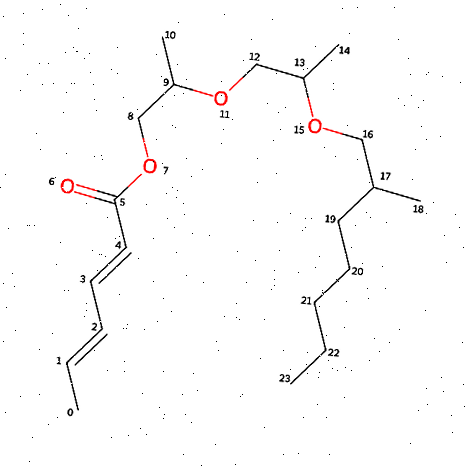 C/C=C/C=C/C(=O)OCC(C)OCC(C)OCC(C)CCCCC